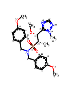 COc1ccc(CN(Cc2ccc(OC)cc2)S(=O)(=O)[C@@H](C)[C@H](OC)c2ncnn2C)cc1